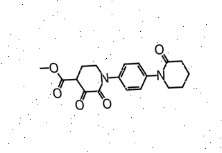 COC(=O)C1CCN(c2ccc(N3CCCCC3=O)cc2)C(=O)C1=O